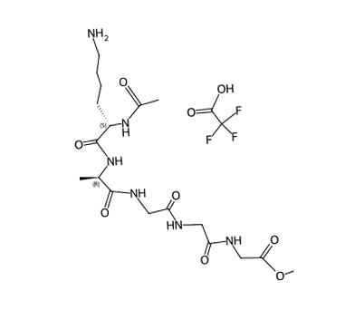 COC(=O)CNC(=O)CNC(=O)CNC(=O)[C@@H](C)NC(=O)[C@H](CCCCN)NC(C)=O.O=C(O)C(F)(F)F